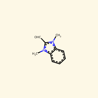 Cn1c(C=O)[n+](C)c2ccccc21